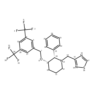 FC(F)(F)c1cc(CO[C@H]2CCCN(Cc3ncsn3)[C@H]2c2ccccc2)cc(C(F)(F)F)c1